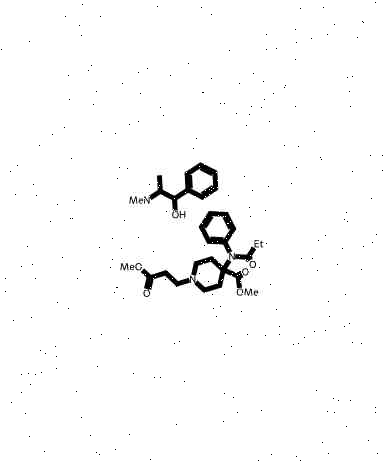 CCC(=O)N(c1ccccc1)C1(C(=O)OC)CCN(CCC(=O)OC)CC1.CNC(C)C(O)c1ccccc1